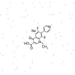 CCn1cc(C(=O)O)c(=O)c2cc(F)c(-c3ccncc3)c(F)c21.[Na]